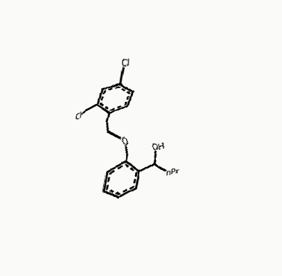 CCCC(O)c1ccccc1OCc1ccc(Cl)cc1Cl